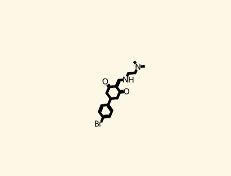 CN(C)CCNC=C1C(=O)CC(c2ccc(Br)cc2)CC1=O